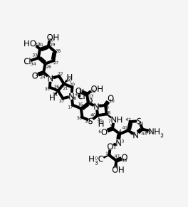 C[C@@H](O/N=C(\C(=O)N[C@@H]1C(=O)N2C(C(=O)O)=C(C[N+]3(C)C[C@H]4CN(C(=O)c5ccc(O)c(O)c5Cl)C[C@H]4C3)CS[C@H]12)c1csc(N)n1)C(=O)O